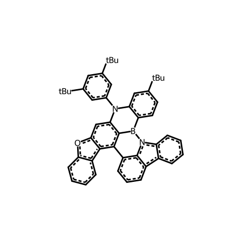 CC(C)(C)c1cc(N2c3cc(C(C)(C)C)ccc3B3c4c2cc2oc5ccccc5c2c4-c2cccc4c5ccccc5n3c24)cc(C(C)(C)C)c1